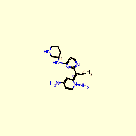 C=C/C(=C1/C=C(N)C=CN1N)c1nccc(N[C@@H]2CCCNC2)n1